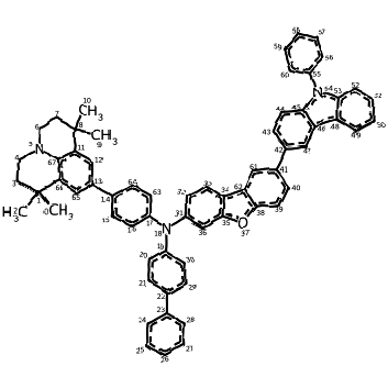 CC1(C)CCN2CCC(C)(C)c3cc(-c4ccc(N(c5ccc(-c6ccccc6)cc5)c5ccc6c(c5)oc5ccc(-c7ccc8c(c7)c7ccccc7n8-c7ccccc7)cc56)cc4)cc1c32